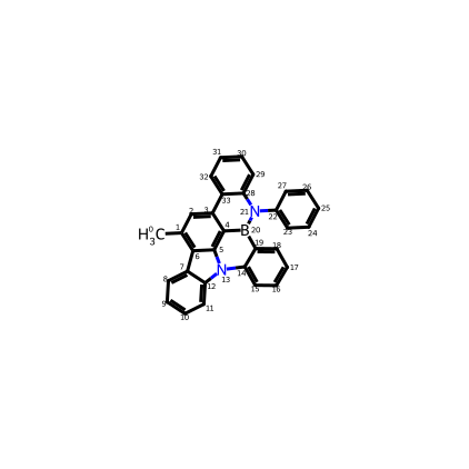 Cc1cc2c3c4c1c1ccccc1n4-c1ccccc1B3N(c1ccccc1)c1ccccc1-2